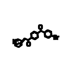 O=C(C=C1CN2CCC1CC2)c1ccc(C(=O)c2ccc(Br)cc2)cc1